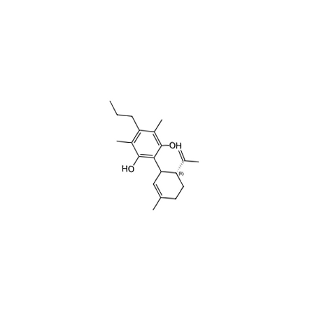 C=C(C)[C@@H]1CCC(C)=CC1c1c(O)c(C)c(CCC)c(C)c1O